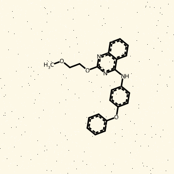 COCCOc1nc(Nc2ccc(Oc3ccccc3)cc2)c2ccccc2n1